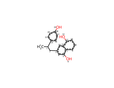 CC(Cc1cc(O)c2cccc(O)c2c1)c1ccc(O)cc1